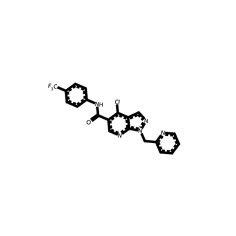 O=C(Nc1ccc(C(F)(F)F)cc1)c1cnc2c(cnn2Cc2ccccn2)c1Cl